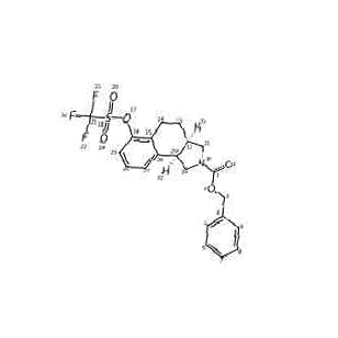 O=C(OCc1ccccc1)N1C[C@@H]2CCc3c(OS(=O)(=O)C(F)(F)F)cccc3[C@@H]2C1